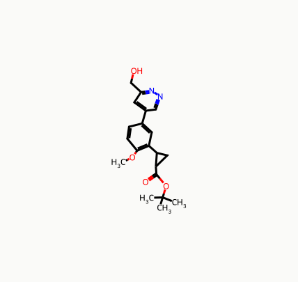 COc1ccc(-c2cnnc(CO)c2)cc1C1CC1C(=O)OC(C)(C)C